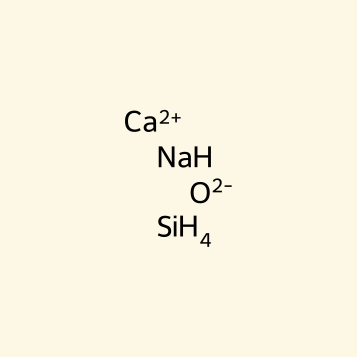 [Ca+2].[NaH].[O-2].[SiH4]